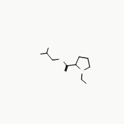 CCN1CCCC1C(=O)OCC(C)C